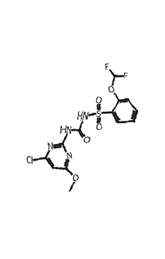 COc1cc(Cl)nc(NC(=O)NS(=O)(=O)c2ccccc2OC(F)F)n1